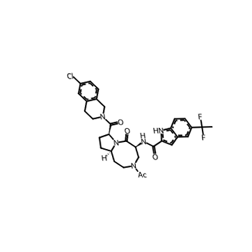 CC(=O)N1CC[C@H]2CC[C@@H](C(=O)N3CCc4cc(Cl)ccc4C3)N2C(=O)[C@@H](NC(=O)c2cc3cc(C(C)(F)F)ccc3[nH]2)C1